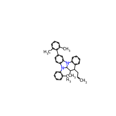 C=CCC1c2ccccc2N2c3cc(-c4c(C)cccc4C)ccc3N(c3ccccc3C)C2C1C